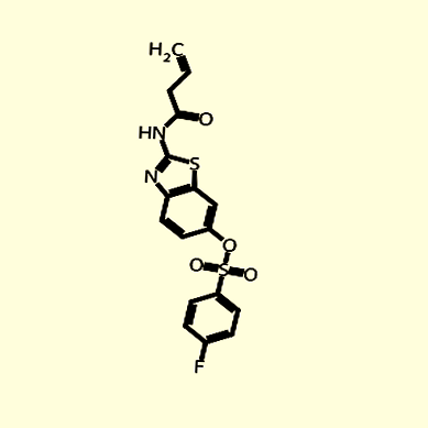 C=CCC(=O)Nc1nc2ccc(OS(=O)(=O)c3ccc(F)cc3)cc2s1